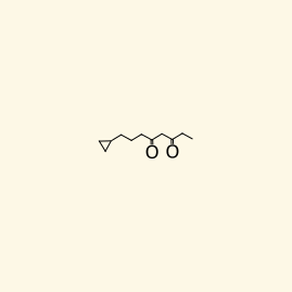 CCC(=O)CC(=O)CCCC1CC1